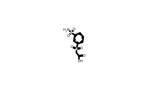 NS(=O)(=O)c1cccc(S(=O)(=O)CC(=O)O)c1